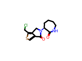 O=C1NCCCC[C@@H]1N1Cc2c(csc2CCl)C1=O